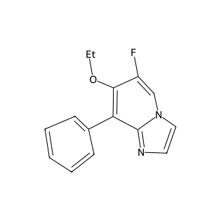 CCOc1c(F)cn2ccnc2c1-c1ccccc1